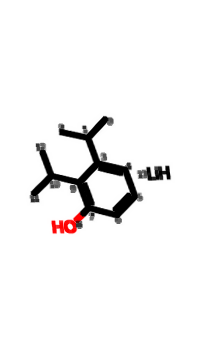 CC(C)c1cccc(O)c1C(C)C.[LiH]